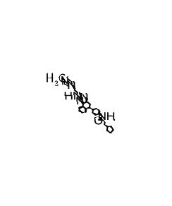 CN1CCN(CCCNc2ncc3c(n2)-c2ccccc2C(c2ccc(NC(=O)CCC4CCCC4)cc2)C3)CC1